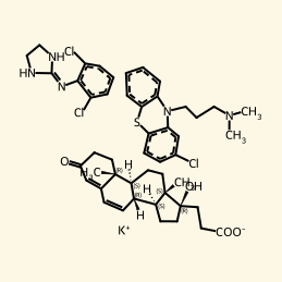 CN(C)CCCN1c2ccccc2Sc2ccc(Cl)cc21.C[C@]12CCC(=O)C=C1C=C[C@@H]1[C@@H]2CC[C@@]2(C)[C@H]1CC[C@@]2(O)CCC(=O)[O-].Clc1cccc(Cl)c1N=C1NCCN1.[K+]